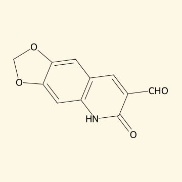 O=Cc1cc2cc3c(cc2[nH]c1=O)OCO3